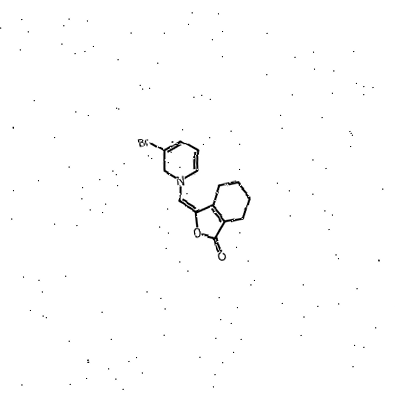 O=C1O/C(=C/N2C=CC=C(Br)C2)C2=C1CCCC2